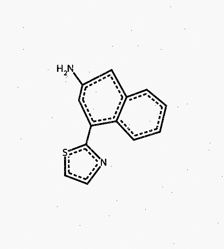 Nc1cc(-c2nccs2)c2ccccc2c1